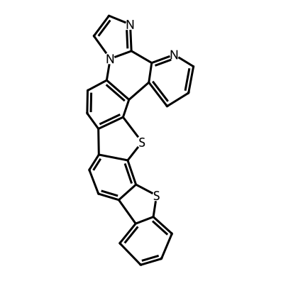 c1ccc2c(c1)sc1c2ccc2c3ccc4c(c5cccnc5c5nccn45)c3sc21